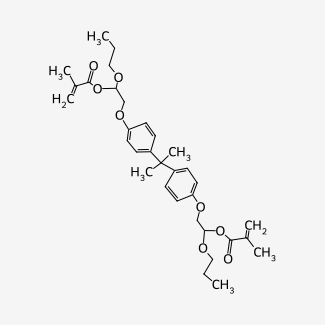 C=C(C)C(=O)OC(COc1ccc(C(C)(C)c2ccc(OCC(OCCC)OC(=O)C(=C)C)cc2)cc1)OCCC